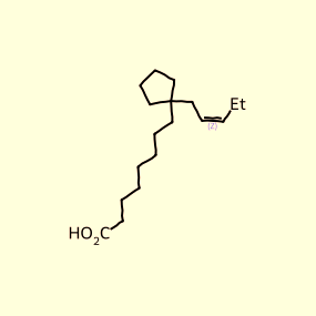 CC/C=C\CC1(CCCCCCCC(=O)O)CCCC1